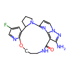 Nc1nn2ccc3nc2c1C(=O)NCCCOc1ncc(F)cc1C1CCCN31